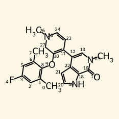 Cc1cc(F)cc(C)c1OC1=C(c2cn(C)c(=O)c3[nH]ccc23)C=CN(C)C1